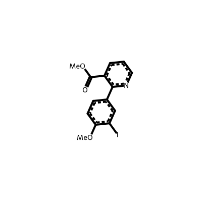 COC(=O)c1cccnc1-c1ccc(OC)c(I)c1